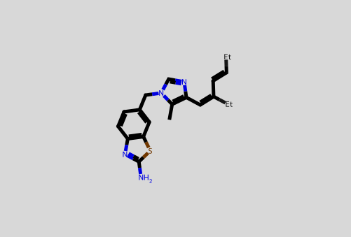 CC/C=C/C(=C\c1ncn(Cc2ccc3nc(N)sc3c2)c1C)CC